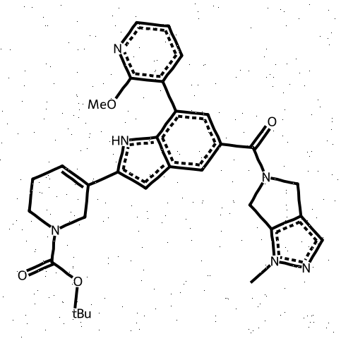 COc1ncccc1-c1cc(C(=O)N2Cc3cnn(C)c3C2)cc2cc(C3=CCCN(C(=O)OC(C)(C)C)C3)[nH]c12